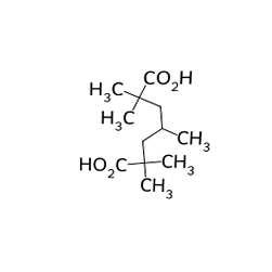 CC(CC(C)(C)C(=O)O)CC(C)(C)C(=O)O